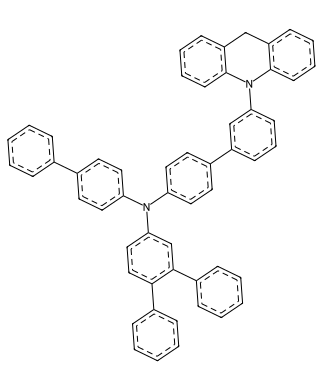 c1ccc(-c2ccc(N(c3ccc(-c4cccc(N5c6ccccc6Cc6ccccc65)c4)cc3)c3ccc(-c4ccccc4)c(-c4ccccc4)c3)cc2)cc1